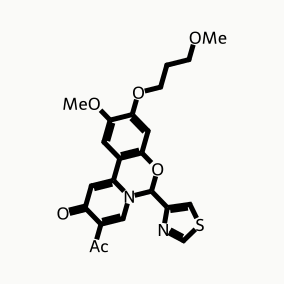 COCCCOc1cc2c(cc1OC)-c1cc(=O)c(C(C)=O)cn1C(c1cscn1)O2